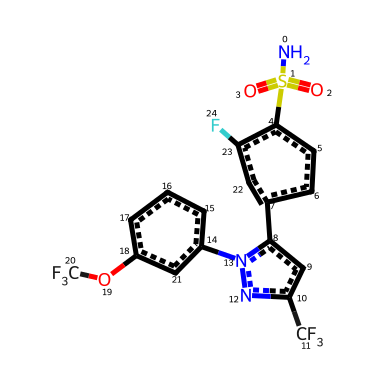 NS(=O)(=O)c1ccc(-c2cc(C(F)(F)F)nn2-c2cccc(OC(F)(F)F)c2)cc1F